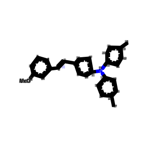 COc1cccc(/C=C/c2ccc(N(c3ccc(C)cc3)c3ccc(C)cc3)cc2)c1